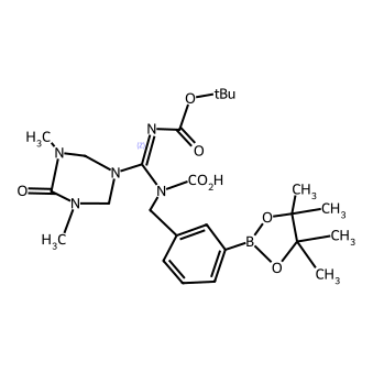 CN1CN(/C(=N/C(=O)OC(C)(C)C)N(Cc2cccc(B3OC(C)(C)C(C)(C)O3)c2)C(=O)O)CN(C)C1=O